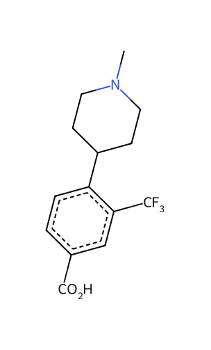 CN1CCC(c2ccc(C(=O)O)cc2C(F)(F)F)CC1